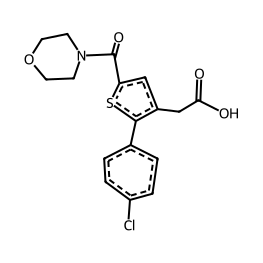 O=C(O)Cc1cc(C(=O)N2CCOCC2)sc1-c1ccc(Cl)cc1